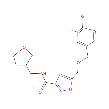 O=C(NCC1CCOC1)c1cc(COCc2ccc(Br)c(F)c2)on1